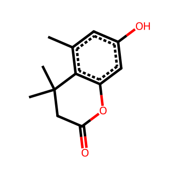 Cc1cc(O)cc2c1C(C)(C)CC(=O)O2